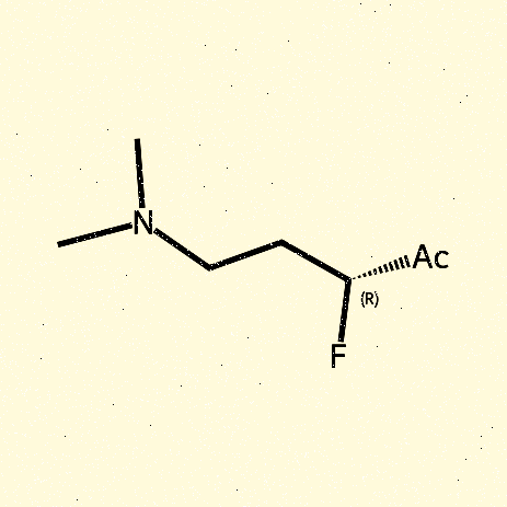 CC(=O)[C@H](F)CCN(C)C